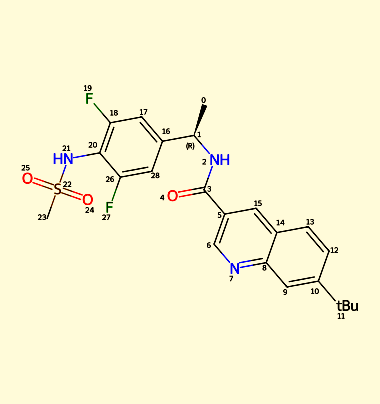 C[C@@H](NC(=O)c1cnc2cc(C(C)(C)C)ccc2c1)c1cc(F)c(NS(C)(=O)=O)c(F)c1